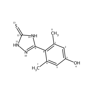 Cc1cc(O)cc(C)c1-c1n[nH]c(=S)[nH]1